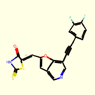 O=C1NC(=S)S/C1=C\c1cc2cncc(C#Cc3ccc(F)c(F)c3)c2o1